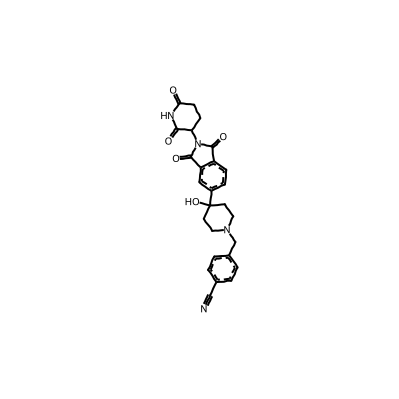 N#Cc1ccc(CN2CCC(O)(c3ccc4c(c3)C(=O)N(C3CCC(=O)NC3=O)C4=O)CC2)cc1